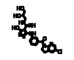 N=C(NCC(O)CO)c1c(O)nsc1Nc1cccc(C(=O)N2CCc3cc(Cl)cnc32)c1